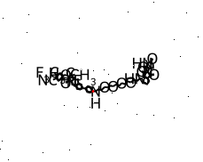 CC1(C)CN(Cc2ccc(-c3ccc(NCCOCCOCCOCCOCCNc4cccc5c4C(=O)N(C4CCC(=O)NC4=O)C5=O)cc3)cc2F)C(=O)C1Oc1ccc(C#N)c(C(F)(F)F)c1